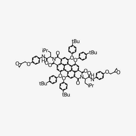 CC(C)CC(C(=O)Nc1ccc(OCC2CO2)cc1)N1C(=O)c2cc(Oc3ccc(C(C)(C)C)cc3)c3c4c(Oc5ccc(C(C)(C)C)cc5)cc5c6c(cc(Oc7ccc(C(C)(C)C)cc7)c(c7c(Oc8ccc(C(C)(C)C)cc8)cc(c2c37)C1=O)c64)C(=O)N(C(CC(C)C)C(=O)Nc1ccc(OCC2CO2)cc1)C5=O